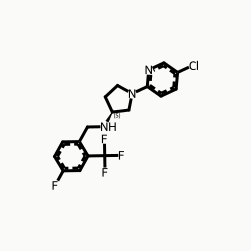 Fc1ccc(CN[C@H]2CCN(c3ccc(Cl)cn3)C2)c(C(F)(F)F)c1